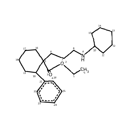 CCOC(=O)C1(CCCNC2CCCCC2)CCCCC1c1ccccc1